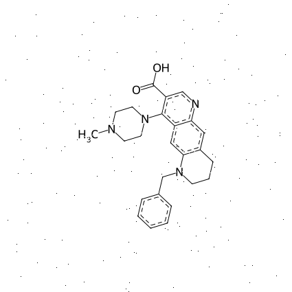 CN1CCN(c2c(C(=O)O)cnc3cc4c(cc23)N(Cc2ccccc2)CCC4)CC1